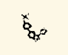 CCC(F)(F)Oc1ccc(-c2ccc3onc(N4C=NCC4)c3c2)cc1